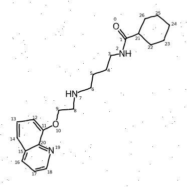 O=C(NCCCCNCCOc1cccc2cccnc12)C1CCCCC1